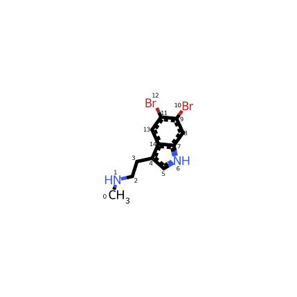 CNCCc1c[nH]c2cc(Br)c(Br)cc12